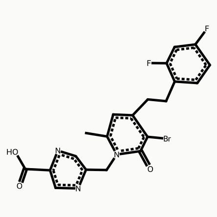 Cc1cc(CCc2ccc(F)cc2F)c(Br)c(=O)n1Cc1cnc(C(=O)O)cn1